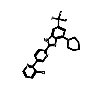 FC(F)(F)c1cc(N2CCCCC2)c2nc(-c3ccc(-c4ncccc4Cl)cn3)[nH]c2c1